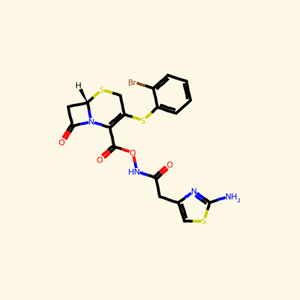 Nc1nc(CC(=O)NOC(=O)C2=C(Sc3ccccc3Br)CS[C@H]3CC(=O)N23)cs1